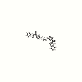 CC(C)(CCc1nnc(NC(=O)Cc2ccccc2)s1)CCc1nnc(NC(=O)Cc2ccccc2)s1